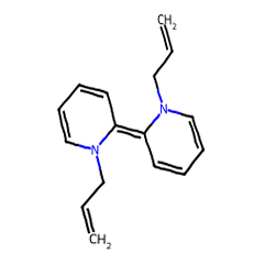 C=CCN1C=CC=CC1=C1C=CC=CN1CC=C